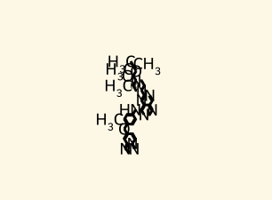 Cc1cc(Nc2ncnc3cnc(N4CCN(C(=O)OC(C)(C)C)[C@H](C)C4)nc23)ccc1Oc1ccn2ncnc2c1